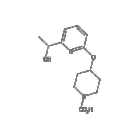 CC(O)c1cccc(OC2CCN(C(=O)O)CC2)n1